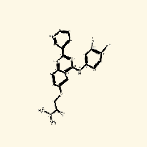 CN(C)C(O)COc1ccc2nc(-c3cccnc3)nc(Nc3ccc(F)c(Cl)c3)c2c1